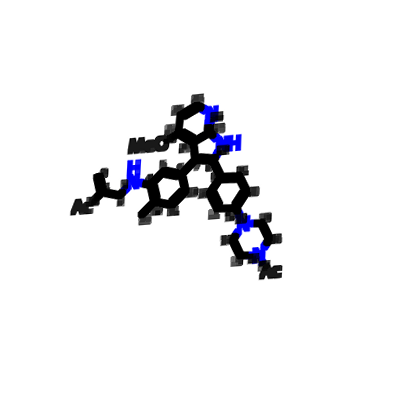 C=C(CNc1cc(-c2c(-c3ccc(N4CCN(C(C)=O)CC4)cc3)[nH]c3nccc(OC)c23)ccc1C)C(C)=O